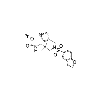 CC(C)OC(=O)NCC(C)(C)CN(Cc1ccncc1)S(=O)(=O)c1ccc2occc2c1